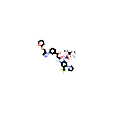 CC(C)(C)OC(=O)Nc1cc(N2CCCC2)c(C(F)(F)F)cc1NC(=O)CC(=O)c1cccc(-n2nncc2COC2CCCCO2)c1